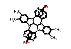 Cc1cc2c(cc1C)N(c1ccc(C(C)C)nc1)C(C1N(c3ccc(C(C)C)nc3)c3cc(C)c(C)cc3N1c1ccc(C(C)C)nc1)N2c1ccc(C(C)C)nc1